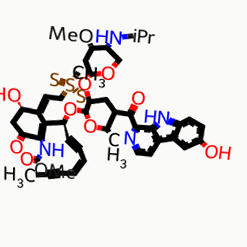 CC#C/C=C\C#C[C@H](OC1OC(C)C(C(=O)c2nccc3c2[nH]c2ccc(O)cc23)CC1OC1CC(OC)C(NC(C)C)CO1)C1=C(NC(=O)OC)C(=O)C[C@H](O)/C1=C/CS(C)(=S)=S